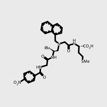 CC[C@H](C)[C@@H](CN(CC(=O)N[C@@H](CCSC)C(=O)O)Cc1cccc2ccccc12)NC(=O)CNC(=O)c1ccc([N+](=O)[O-])cc1